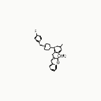 COC(=O)N(Cc1ccccc1)Cc1ccc(C)cc1C1CCN(Cc2ccc(F)cc2)CC1